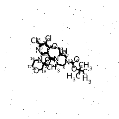 CC(C)(C)OC(=O)N1CCN2C(=O)c3c(N4CCOCC4(C)C)nc(Cl)c(Cl)c3OC[C@H]2C1